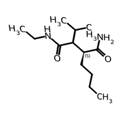 CCCC[C@H](C(N)=O)C(C(=O)NCC)C(C)C